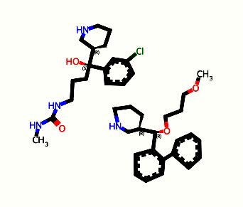 CNC(=O)NCCC[C@@](O)(c1cccc(Cl)c1)[C@@H]1CCCNC1.COCCCO[C@@H](c1ccccc1-c1ccccc1)[C@@H]1CCCNC1